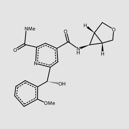 CNC(=O)c1cc(C(=O)N[C@H]2[C@@H]3COC[C@@H]32)cc([C@H](O)c2ccccc2OC)n1